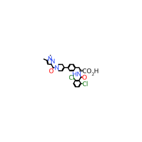 Cc1cc(C(=O)N2CC=C(c3ccc(C[C@H](NC(=O)c4c(Cl)cccc4Cl)C(=O)O)cc3)CC2)nn1C